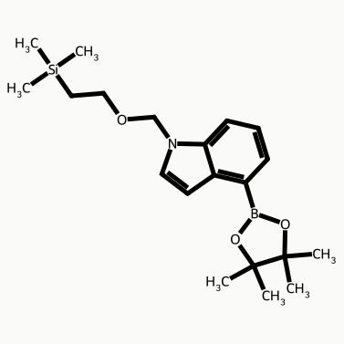 CC1(C)OB(c2cccc3c2ccn3COCC[Si](C)(C)C)OC1(C)C